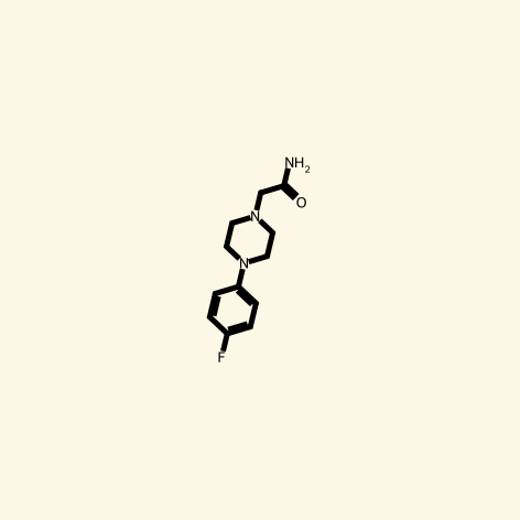 NC(=O)CN1CCN(c2ccc(F)cc2)CC1